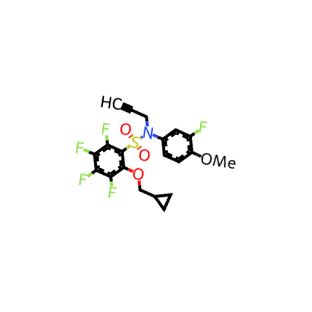 C#CCN(c1ccc(OC)c(F)c1)S(=O)(=O)c1c(F)c(F)c(F)c(F)c1OCC1CC1